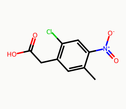 Cc1cc(CC(=O)O)c(Cl)cc1[N+](=O)[O-]